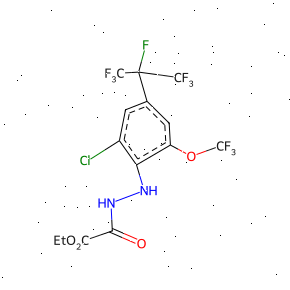 CCOC(=O)C(=O)NNc1c(Cl)cc(C(F)(C(F)(F)F)C(F)(F)F)cc1OC(F)(F)F